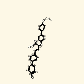 COc1ccc(-c2ccc(OC(CCc3ccc(-c4ccc(Cl)cc4)cc3)C(=O)O)cc2)cc1